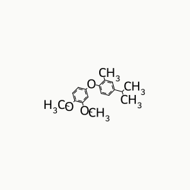 COc1ccc(Oc2ccc(C(C)C)cc2C)cc1OC